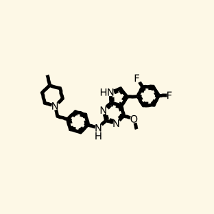 COc1nc(Nc2ccc(CN3CCC(C)CC3)cc2)nc2[nH]cc(-c3ccc(F)cc3F)c12